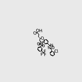 O=C(O)CC[C@@H]1CN(S(=O)(=O)c2cccc(C(F)(F)F)c2)c2cc(-c3noc(-c4ccccc4Cl)n3)ccc2O1